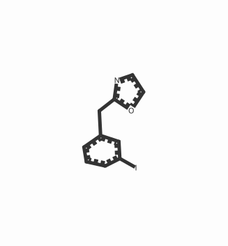 Ic1cccc(Cc2ncco2)c1